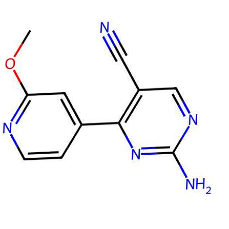 COc1cc(-c2nc(N)ncc2C#N)ccn1